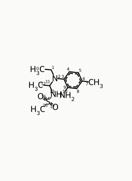 CCN(c1ccc(C)cc1N)C(C)NS(C)(=O)=O